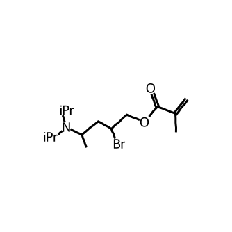 C=C(C)C(=O)OCC(Br)CC(C)N(C(C)C)C(C)C